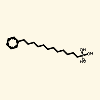 O[PH](O)(O)CCCCCCCCCCCCc1ccccc1